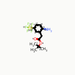 CC(C)(C)OC(=O)Cc1cc(S(F)(F)(F)(F)F)ccc1N